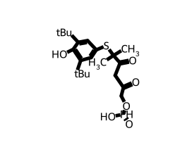 CC(C)(Sc1cc(C(C)(C)C)c(O)c(C(C)(C)C)c1)C(=O)CC(=O)CO[PH](=O)O